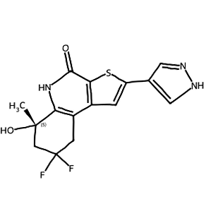 C[C@]1(O)CC(F)(F)Cc2c1[nH]c(=O)c1sc(-c3cn[nH]c3)cc21